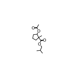 CC(=O)OC1CCCC1(C)C(=O)OCC(C)C